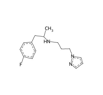 CC(Cc1ccc(F)cc1)NCCCn1cccn1